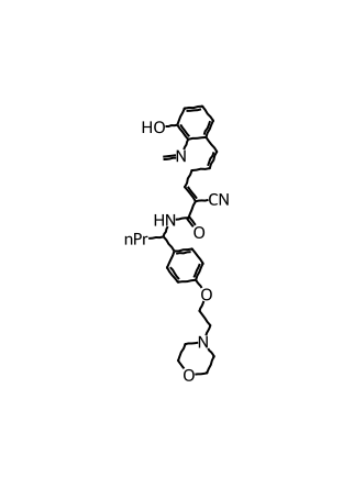 C=Nc1c(O)cccc1/C=C\C/C=C(\C#N)C(=O)NC(CCC)c1ccc(OCCN2CCOCC2)cc1